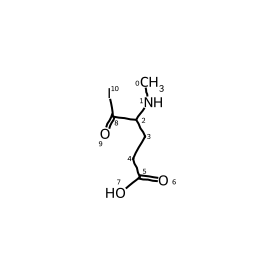 CNC(CCC(=O)O)C(=O)I